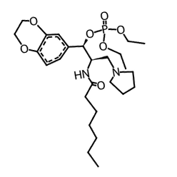 CCCCCCC(=O)N[C@H](CN1CCCC1)[C@H](OP(=O)(OCC)OCC)c1ccc2c(c1)OCCO2